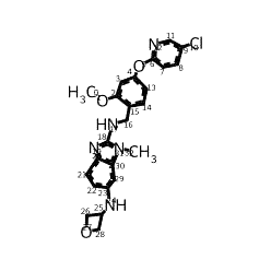 COc1cc(Oc2ccc(Cl)cn2)ccc1CNc1nc2ccc(NC3COC3)cc2n1C